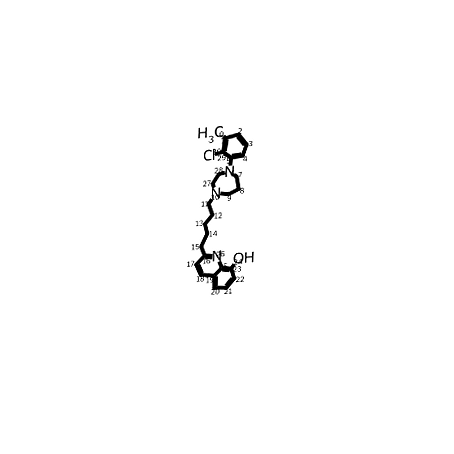 Cc1cccc(N2CCCN(CCCCCc3ccc4cccc(O)c4n3)CC2)c1Cl